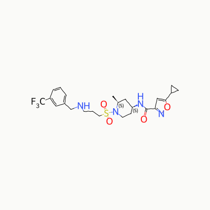 C[C@H]1C[C@@H](NC(=O)c2cc(C3CC3)on2)CCN1S(=O)(=O)CCCNCc1cccc(C(F)(F)F)c1